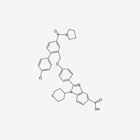 O=C(O)c1ccc2c(c1)nc(-c1ccc(OCc3cc(C(=O)N4CCCC4)ccc3-c3ccc(Cl)cc3)cc1)n2C1CCSCC1